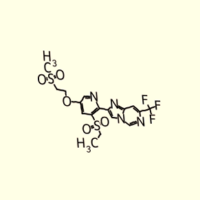 CCS(=O)(=O)c1cc(OCCS(C)(=O)=O)cnc1-c1cn2cnc(C(F)(F)F)cc2n1